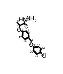 CC(Oc1ccc(COc2ccc(Cl)cc2)cc1)C(=O)NN